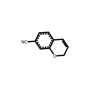 N#Cc1ccc2c(c1)OCC=C2